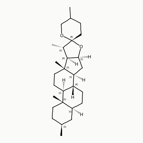 CC1CC[C@@]2(OC1)O[C@H]1C[C@H]3[C@@H]4CC[C@H]5C[C@@H](C)CC[C@]5(C)[C@H]4CC[C@]3(C)[C@H]1[C@@H]2C